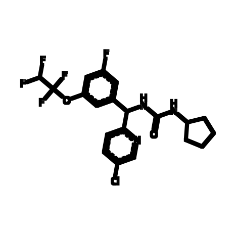 O=C(NC1CCCC1)NC(c1cc(F)cc(OC(F)(F)C(F)F)c1)c1ccc(Cl)cn1